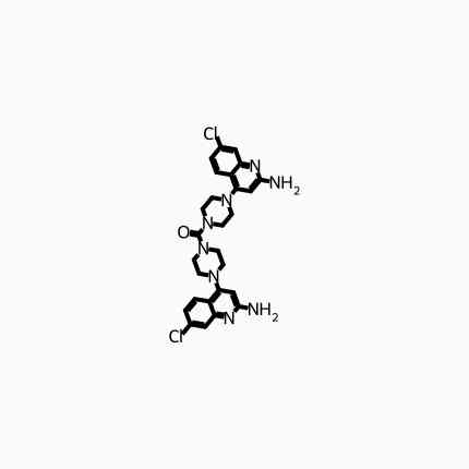 Nc1cc(N2CCN(C(=O)N3CCN(c4cc(N)nc5cc(Cl)ccc45)CC3)CC2)c2ccc(Cl)cc2n1